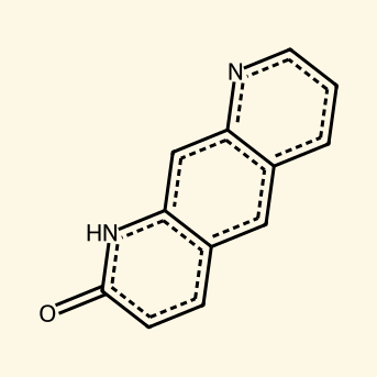 O=c1ccc2cc3cccnc3cc2[nH]1